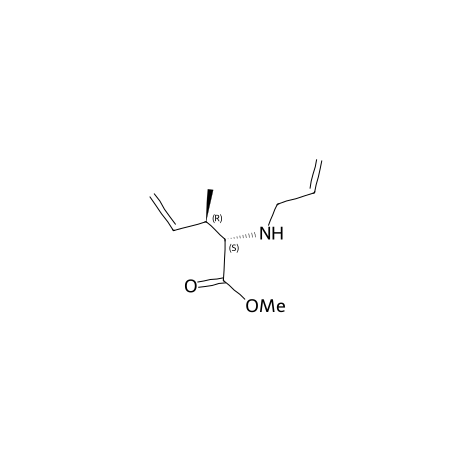 C=CCN[C@H](C(=O)OC)[C@H](C)C=C